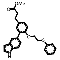 COC(=O)CCc1ccc(OCCSc2ccccc2)c(-c2ccc3[nH]ccc3c2)c1